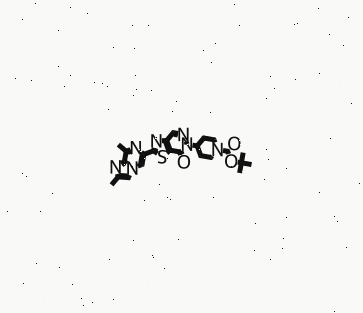 Cc1cn2cc(-c3nc4cnn(C5CCN(C(=O)OC(C)(C)C)CC5)c(=O)c4s3)nc(C)c2n1